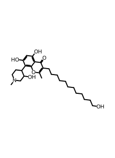 Cc1oc2c(C3CCN(C)CC3O)c(O)cc(O)c2c(=O)c1CCCCCCCCCCCCO